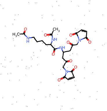 CC(=O)NCCCCC(NC(C)=O)C(=O)NC(CC(=O)CN1C(=O)C=CC1=O)CC(=O)CN1C(=O)C=CC1=O